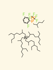 CCCC(C)C[PH+](c1cc(F)ccc1F)C(F)(F)C(F)(F)F.CCCC(CC)CCC(C)[CH2][Al-]([CH2]C(C)CCC(CC)CCC)([CH2]C(C)CCC(CC)CCC)[CH2]C(C)CCC(CC)CCC